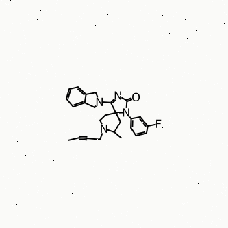 CC#CCN1CCC2(CC1C)C(N1Cc3ccccc3C1)=NC(=O)N2c1cccc(F)c1